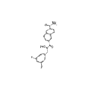 NC(=O)c1ccc2cc(C(=O)N(O)Cc3cc(F)cc(F)c3)ccc2c1